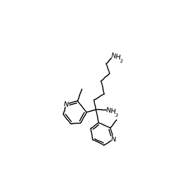 Cc1ncccc1C(N)(CCCCCN)c1cccnc1C